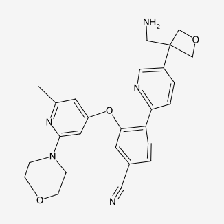 Cc1cc(Oc2cc(C#N)ccc2-c2ccc(C3(CN)COC3)cn2)cc(N2CCOCC2)n1